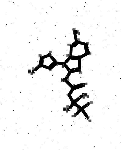 Cc1cc(-n2c(NC(=O)CC(C)(C)C(F)(F)F)nc3ccc(C)nc32)on1